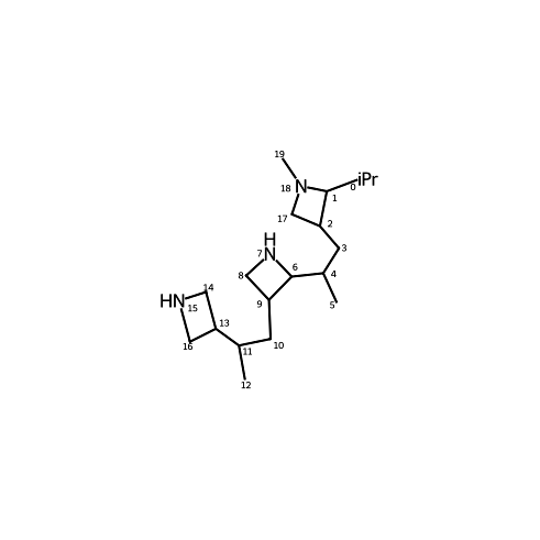 CC(C)C1C(CC(C)C2NCC2CC(C)C2CNC2)CN1C